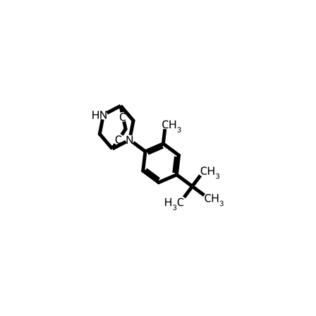 Cc1cc(C(C)(C)C)ccc1N1CC2CCCC1CN2